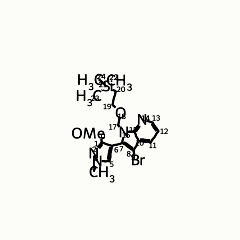 COc1nn(C)cc1-c1c(Br)c2cccnc2n1COCC[Si](C)(C)C